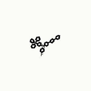 Fc1ccc(N(c2ccc(-c3ccc(-c4ccccc4)cc3)cc2)c2ccc([Si](c3ccccc3)(c3ccccc3)c3ccccc3)cc2)cc1